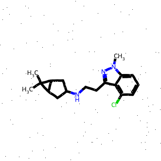 Cn1nc(CCNC2CC3C(C2)C3(C)C)c2c(Cl)cccc21